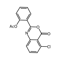 CC(=O)Oc1ccccc1-c1nc2cccc(Cl)c2c(=O)o1